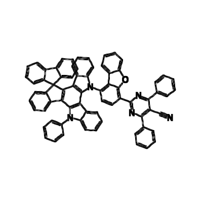 N#Cc1c(-c2ccccc2)nc(-c2ccc(-n3c4ccccc4c4c5c(c6c(c7ccccc7n6-c6ccccc6)c43)-c3ccccc3C53c4ccccc4-c4ccccc43)c3c2oc2ccccc23)nc1-c1ccccc1